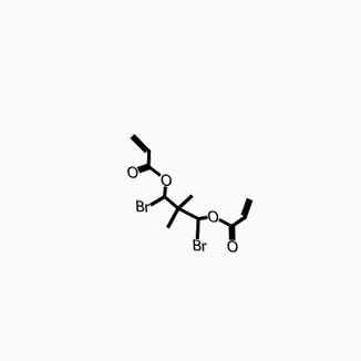 C=CC(=O)OC(Br)C(C)(C)C(Br)OC(=O)C=C